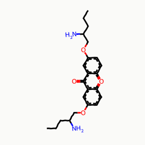 CCCC(N)COc1ccc2oc3ccc(OCC(N)CCC)cc3c(=O)c2c1